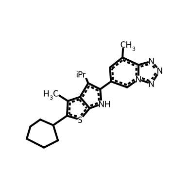 Cc1c(C2CCCCC2)sc2[nH]c(-c3cc(C)c4nnnn4c3)c(C(C)C)c12